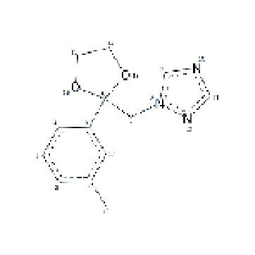 Cc1cccc(C2(Cn3cncn3)OCCO2)c1